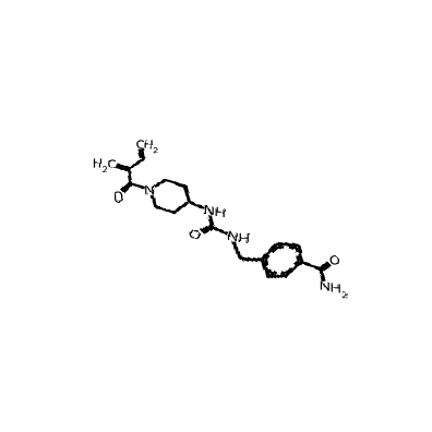 C=CC(=C)C(=O)N1CCC(NC(=O)NCc2ccc(C(N)=O)cc2)CC1